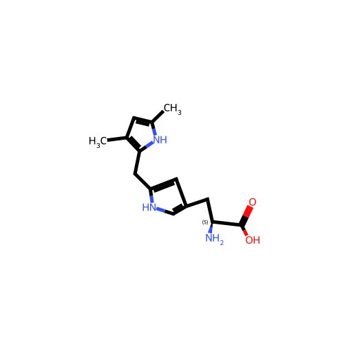 Cc1cc(C)c(Cc2cc(C[C@H](N)C(=O)O)c[nH]2)[nH]1